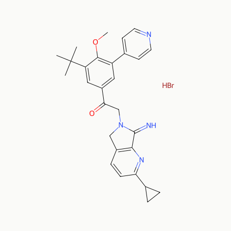 Br.COc1c(-c2ccncc2)cc(C(=O)CN2Cc3ccc(C4CC4)nc3C2=N)cc1C(C)(C)C